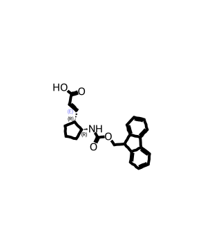 O=C(O)/C=C/[C@H]1CCC[C@H]1NC(=O)OCC1c2ccccc2-c2ccccc21